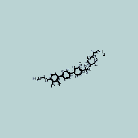 BCOc1ccc(-c2ccc(-c3ccc(C(F)(F)OC4COC(C=C)OC4)c(F)c3)cc2)c(F)c1F